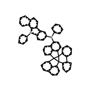 c1ccc(N(c2ccc3c(c2)c2ccc4ccccc4c2n3-c2ccccc2)c2ccc3c4c(cccc24)C24c5cccc6cccc(c56)C25c2ccccc2-c2ccccc2C354)cc1